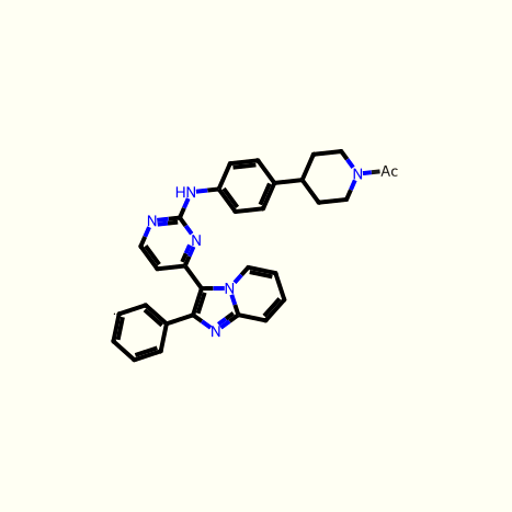 CC(=O)N1CCC(c2ccc(Nc3nccc(-c4c(-c5c[c]ccc5)nc5ccccn45)n3)cc2)CC1